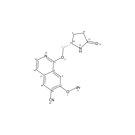 CC(C)Oc1cc2c(OC[C@@H]3CCC(=O)N3)nccc2cc1C#N